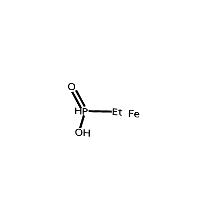 CC[PH](=O)O.[Fe]